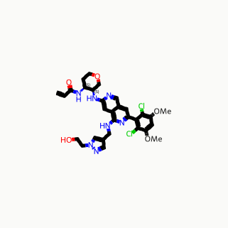 C=CC(=O)N[C@H]1CCOC[C@H]1Nc1cc2c(NCc3cnn(CCO)c3)nc(-c3c(Cl)c(OC)cc(OC)c3Cl)cc2cn1